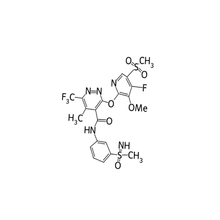 COc1c(Oc2nnc(C(F)(F)F)c(C)c2C(=O)Nc2cccc(S(C)(=N)=O)c2)ncc(S(C)(=O)=O)c1F